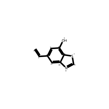 C=Cc1cc(O)c2scnc2c1